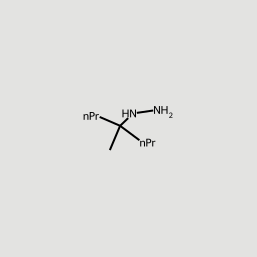 CCCC(C)(CCC)NN